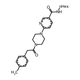 CCCCCCNC(=O)c1ccc(N2CCN(C(=O)Cc3ccc(C)cc3)CC2)nc1